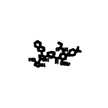 C=CC(=O)Nc1cc(Nc2nccc(-c3[nH]c(-c4[nH]ccc4O)nc3-c3ccc4ccccc4c3)n2)c(OC)cc1N1CCC(N(C)C)CC1